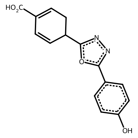 O=C(O)C1=CCC(c2nnc(-c3ccc(O)cc3)o2)C=C1